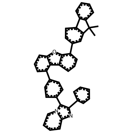 CC1(C)c2ccccc2-c2ccc(-c3cccc4c3oc3cccc(-c5ccc(-c6c(-c7ccccc7)nc7ccccn67)cc5)c34)cc21